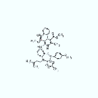 COC(=O)C1=C(C)NC(C)=C(C(=O)OC)C1c1ccccc1[N+](=O)[O-].COc1ccc([C@@H]2Sc3ccccc3N(CCN(C)C)C(=O)[C@@H]2OC(C)=O)cc1